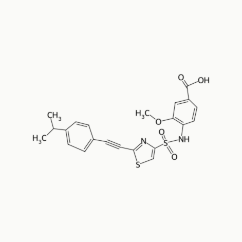 COc1cc(C(=O)O)ccc1NS(=O)(=O)c1csc(C#Cc2ccc(C(C)C)cc2)n1